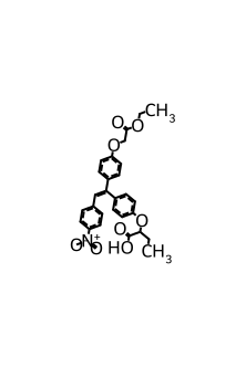 CCOC(=O)COc1ccc(C(=Cc2ccc([N+](=O)[O-])cc2)c2ccc(OC(CC)C(=O)O)cc2)cc1